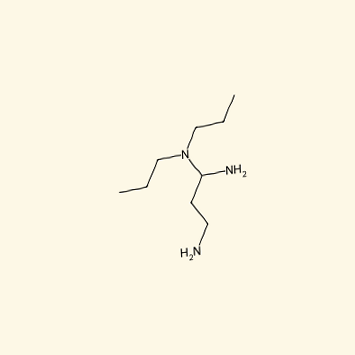 CCCN(CCC)C(N)CCN